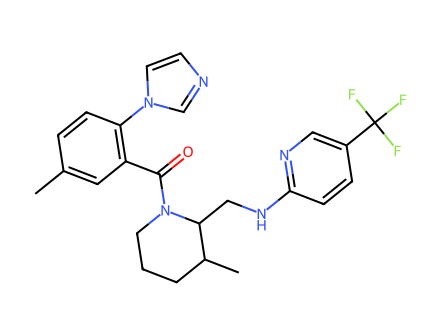 Cc1ccc(-n2ccnc2)c(C(=O)N2CCCC(C)C2CNc2ccc(C(F)(F)F)cn2)c1